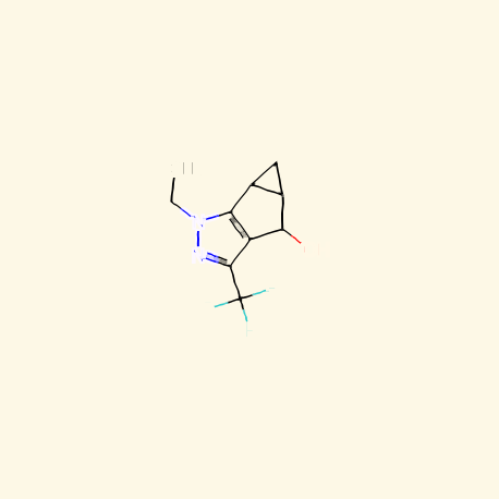 CCn1nc(C(F)(F)F)c2c1C1CC1C2O